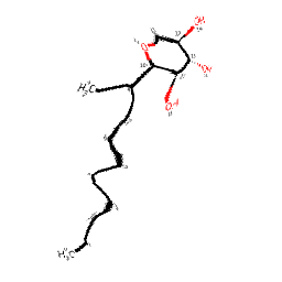 CCCCCCCCC(C)C1OC[C@@H](O)[C@H](O)[C@H]1O